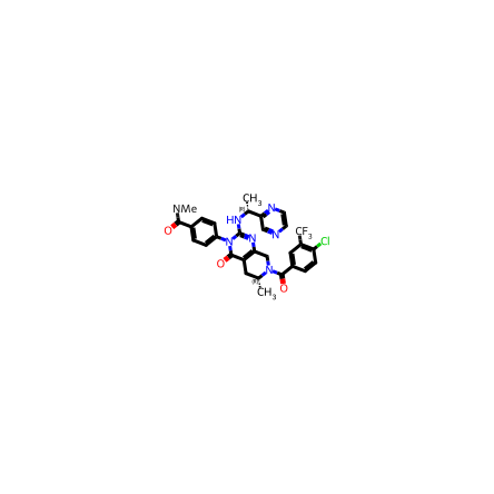 CNC(=O)c1ccc(-n2c(N[C@H](C)c3cnccn3)nc3c(c2=O)C[C@@H](C)N(C(=O)c2ccc(Cl)c(C(F)(F)F)c2)C3)cc1